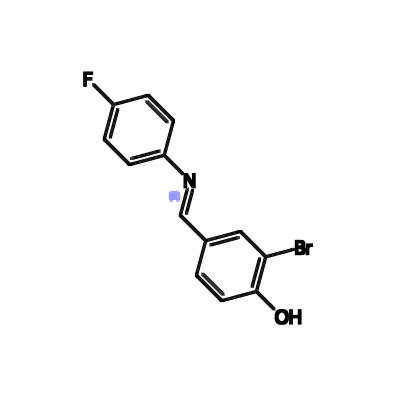 Oc1ccc(/C=N/c2ccc(F)cc2)cc1Br